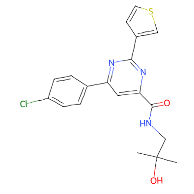 CC(C)(O)CNC(=O)c1cc(-c2ccc(Cl)cc2)nc(-c2ccsc2)n1